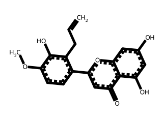 C=CCc1c(-c2cc(=O)c3c(O)cc(O)cc3o2)ccc(OC)c1O